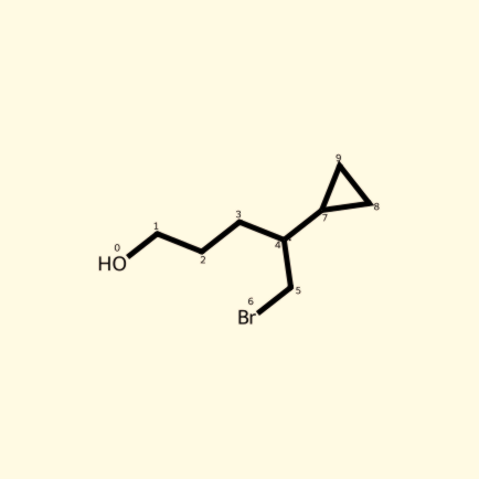 OCCC[C](CBr)C1CC1